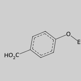 C[CH]Oc1ccc(C(=O)O)cc1